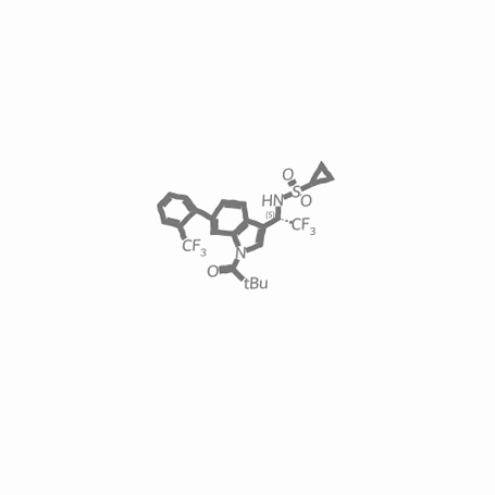 CC(C)(C)C(=O)n1cc([C@H](NS(=O)(=O)C2CC2)C(F)(F)F)c2ccc(-c3ccccc3C(F)(F)F)cc21